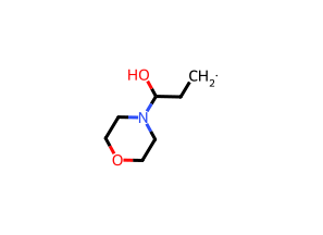 [CH2]CC(O)N1CCOCC1